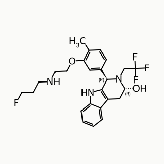 Cc1ccc([C@@H]2c3[nH]c4ccccc4c3C[C@@H](O)N2CC(F)(F)F)cc1OCCNCCCF